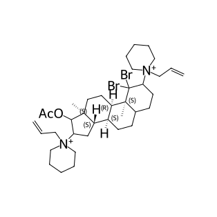 C=CC[N+]1(C2C[C@H]3[C@@H]4CCC5CCC([N+]6(CC=C)CCCCC6)C(Br)(Br)[C@]5(C)[C@@H]4CC[C@]3(C)C2OC(C)=O)CCCCC1